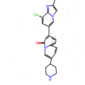 Cc1cn2cc(C3=C\C(=O)N4C=C(C5CCNCC5)C=C\C4=C/C=C/3)cc(Cl)c2n1